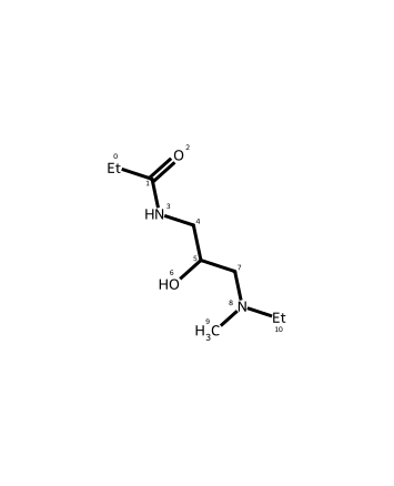 CCC(=O)NCC(O)CN(C)CC